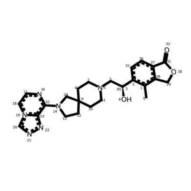 Cc1c([C@@H](O)CN2CCC3(CC2)CCN(c2nccn4cnnc24)C3)ccc2c1COC2=O